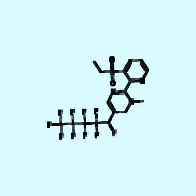 CCS(=O)(=O)c1cccnc1C1=NC=C([C@@H](F)C(F)(F)C(F)(F)C(F)(F)C(F)(F)F)CN1C